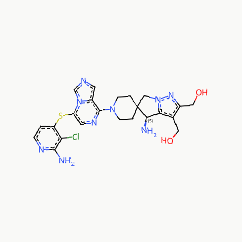 Nc1nccc(Sc2cnc(N3CCC4(CC3)Cn3nc(CO)c(CO)c3[C@H]4N)c3cncn23)c1Cl